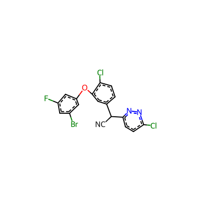 N#CC(c1ccc(Cl)c(Oc2cc(F)cc(Br)c2)c1)c1ccc(Cl)nn1